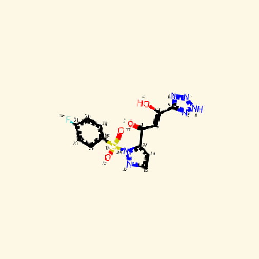 O=C(C=C(O)c1nn[nH]n1)c1ccnn1S(=O)(=O)c1ccc(F)cc1